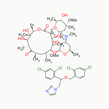 CC[C@H]1OC(=O)[C@H](C)[C@@H](O[C@H]2C[C@@](C)(OC)[C@@H](O)[C@H](C)O2)C(C)[C@@H](O[C@@H]2O[C@H](C)C[C@H](N(C)C)[C@H]2O)[C@](C)(OC)C[C@@H](C)C(=O)[C@H](C)[C@@H](O)[C@]1(C)O.Clc1ccc(COC(Cn2ccnc2)c2ccc(Cl)cc2Cl)c(Cl)c1